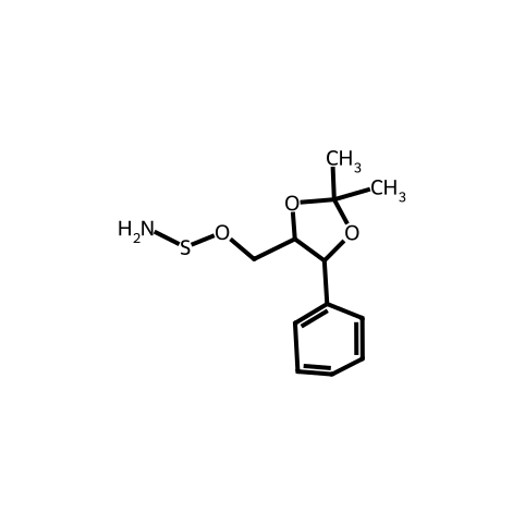 CC1(C)OC(COSN)C(c2ccccc2)O1